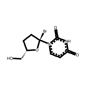 O=c1ccn([C@@]2(Br)CC[C@@H](CO)O2)c(=O)[nH]1